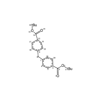 CC(C)(C)OC(=O)c1ccc([CH]c2ccc(C(=O)OC(C)(C)C)cc2)cc1